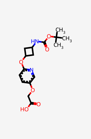 CC(C)(C)OC(=O)NC1CC(Oc2ccc(OCC(=O)O)cn2)C1